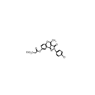 CCOC(=O)CC(=O)Oc1ccc2oc(C)c3c(=O)n(-c4ccc(Cl)cc4)nc-3c2c1